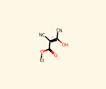 CCOC(=O)/C(C#N)=C(\O)C#N